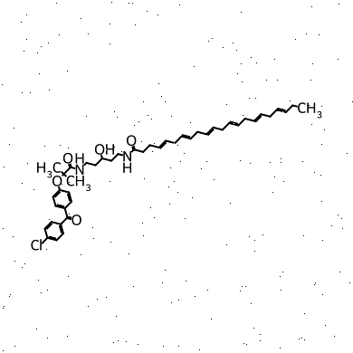 CCC=CCC=CCC=CCC=CCC=CCC=CCCC(=O)NCCC(O)CCNC(=O)C(C)(C)Oc1ccc(C(=O)c2ccc(Cl)cc2)cc1